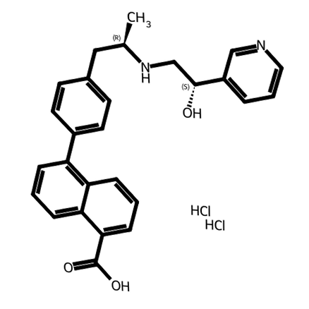 C[C@H](Cc1ccc(-c2cccc3c(C(=O)O)cccc23)cc1)NC[C@@H](O)c1cccnc1.Cl.Cl